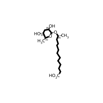 C[C@H](CCCCCCCCCCC(=O)O)O[C@@H]1O[C@@H](C)[C@H](O)C[C@H]1O